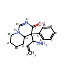 C=CC(N)C1(c2ccccc2)C(=O)N=CN2CCCCC21